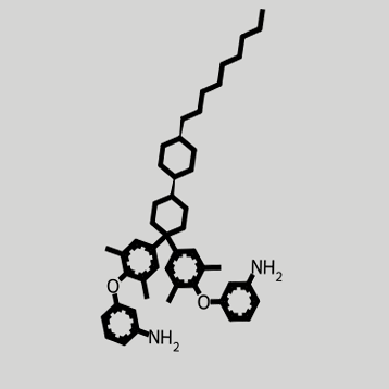 CCCCCCCCC[C@H]1CC[C@@H](C2CCC(c3cc(C)c(Oc4cccc(N)c4)c(C)c3)(c3cc(C)c(Oc4cccc(N)c4)c(C)c3)CC2)CC1